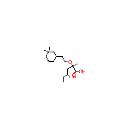 CCC(O)CC(C)(OCCC1CCCC(C)(C)C1)C(=O)O